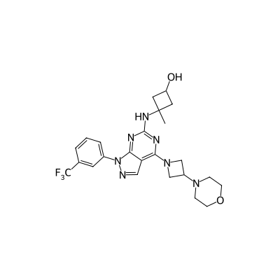 CC1(Nc2nc(N3CC(N4CCOCC4)C3)c3cnn(-c4cccc(C(F)(F)F)c4)c3n2)CC(O)C1